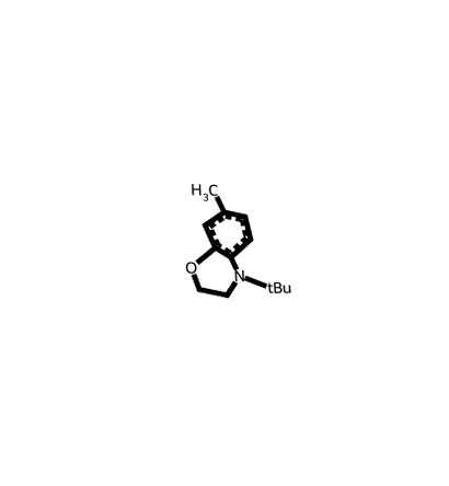 Cc1ccc2c(c1)OCCN2C(C)(C)C